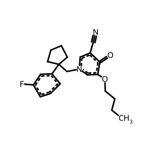 CCCCOc1cn(CC2(c3cccc(F)c3)CCCC2)cc(C#N)c1=O